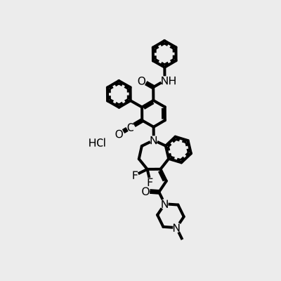 CN1CCN(C(=O)C=C2c3ccccc3N(C3C=CC(C(=O)Nc4ccccc4)=C(c4ccccc4)C3=C=O)CCC2(F)F)CC1.Cl